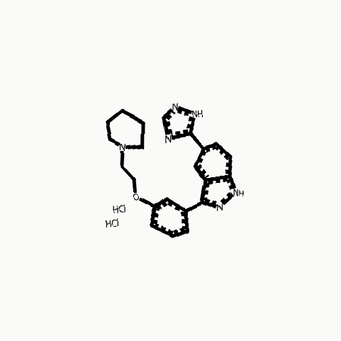 Cl.Cl.c1cc(OCCN2CCCCC2)cc(-c2n[nH]c3ccc(-c4ncn[nH]4)cc23)c1